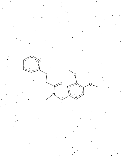 COc1ccc(CN(C)C(=O)CCc2ccccc2)cc1OC